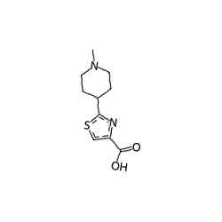 CN1CCC(c2nc(C(=O)O)cs2)CC1